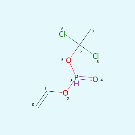 C=CO[PH](=O)OC(C)(Cl)Cl